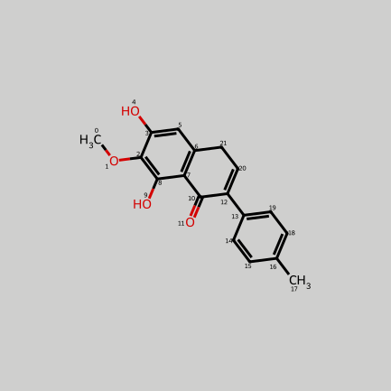 COc1c(O)cc2c(c1O)C(=O)C(c1ccc(C)cc1)=CC2